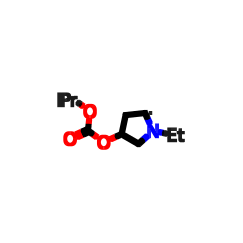 CCN1[CH]CC(OC(=O)OC(C)C)C1